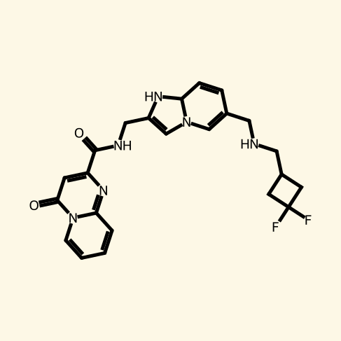 O=C(NCC1=CN2C=C(CNCC3CC(F)(F)C3)C=CC2N1)c1cc(=O)n2ccccc2n1